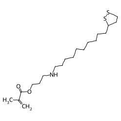 C=C(C)C(=O)OCCCNCCCCCCCCCCC1CCSS1